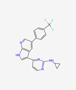 FC(F)(F)c1ccc(-c2cnc3[nH]cc(-c4ccnc(NC5CC5)n4)c3c2)cc1